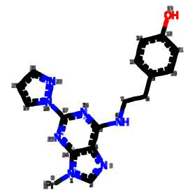 CC(C)n1cnc2c(NCCc3ccc(O)cc3)nc(-n3cccn3)nc21